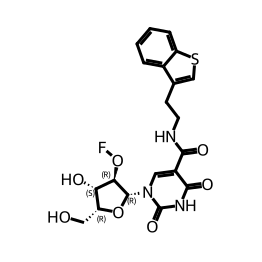 O=C(NCCc1csc2ccccc12)c1cn([C@@H]2O[C@H](CO)[C@H](O)[C@H]2OF)c(=O)[nH]c1=O